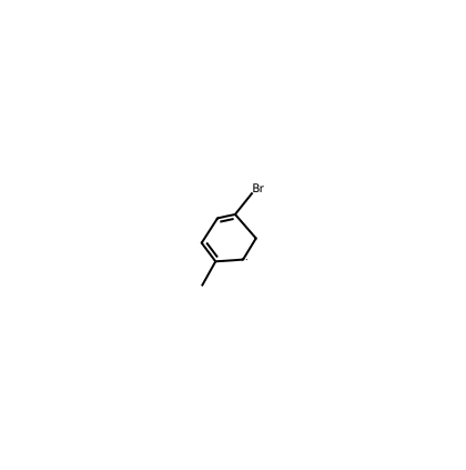 CC1=CC=C(Br)C[CH]1